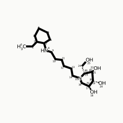 CCC1CCCCC1NCCCCCCN1C[C@H](O)[C@@H](O)[C@H](O)[C@H]1CO